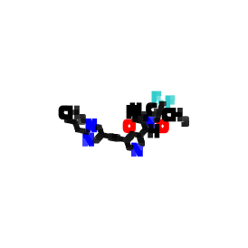 CCCCc1ncc(C#Cc2cncc3c2O[C@H]2C[C@@H]3N(C(=O)C(C)(C)C(F)F)C2)cn1